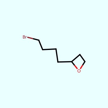 BrCCCCC1CCO1